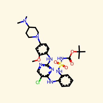 COc1cc(N2CCC(N(C)C)CC2)ccc1Nc1ncc(Cl)c(Nc2ccccc2NS(=O)(=O)NC(=O)OC(C)(C)C)n1